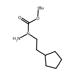 CC(C)(C)OC(=O)N(N)CCC1CCCC1